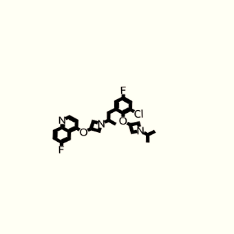 CC(C)N1CC(Oc2c(Cl)cc(F)cc2CC(C)N2CC(Oc3ccnc4ccc(F)cc34)C2)C1